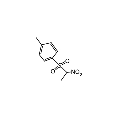 Cc1ccc(S(=O)(=O)C(C)[N+](=O)[O-])cc1